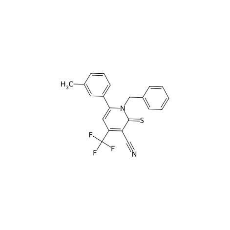 Cc1cccc(-c2cc(C(F)(F)F)c(C#N)c(=S)n2Cc2ccccc2)c1